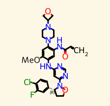 C=CC(=O)Nc1cc(Nc2cc(N3OCC[C@@H]3c3ccc(Cl)c(F)c3)ncn2)c(OC)cc1N1CCN(C2COC2)CC1